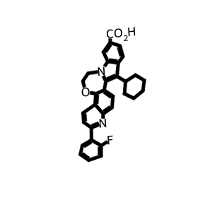 O=C(O)c1ccc2c(C3CCCCC3)c3n(c2c1)CCOc1c-3ccc2nc(-c3ccccc3F)ccc12